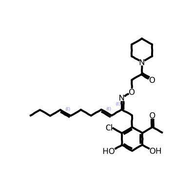 CCC/C=C/CC/C=C/C(Cc1c(Cl)c(O)cc(O)c1C(C)=O)=N/OCC(=O)N1CCCCC1